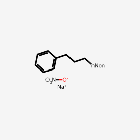 CCCCCCCCCCCCc1ccccc1.O=[N+]([O-])[O-].[Na+]